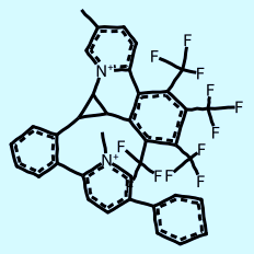 Cc1ccc2[n+](c1)C1C(c3ccccc3-c3ccc(-c4ccccc4)c[n+]3C)C1c1c-2c(C(F)(F)F)c(C(F)(F)F)c(C(F)(F)F)c1C(F)(F)F